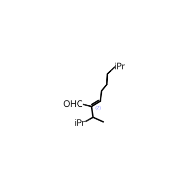 CC(C)CCC/C=C(\C=O)C(C)C(C)C